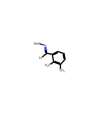 CC/C(=N\NC)c1cccc(C)c1C